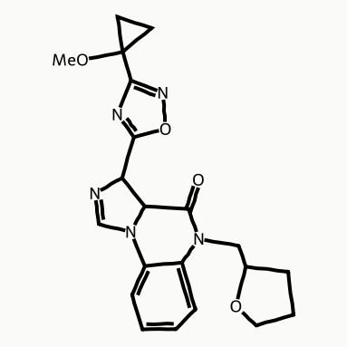 COC1(c2noc(C3N=CN4c5ccccc5N(CC5CCCO5)C(=O)C34)n2)CC1